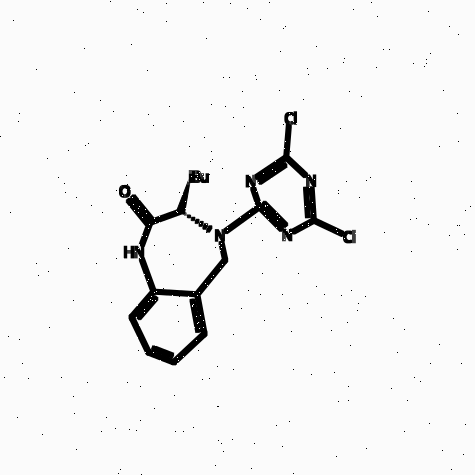 CC[C@H](C)[C@H]1C(=O)Nc2ccccc2CN1c1nc(Cl)nc(Cl)n1